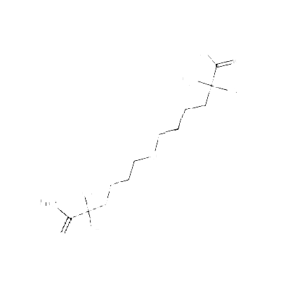 CC(=O)C(C)(C)CCCCOCCCCC(C)(C)C(=O)O